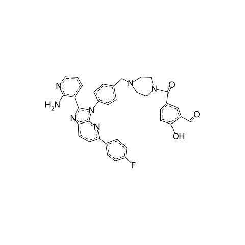 Nc1ncccc1-c1nc2ccc(-c3ccc(F)cc3)nc2n1-c1ccc(CN2CCN(C(=O)c3ccc(O)c(C=O)c3)CC2)cc1